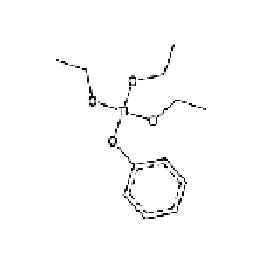 CC[O][Ti]([O]CC)([O]CC)[O]c1ccccc1